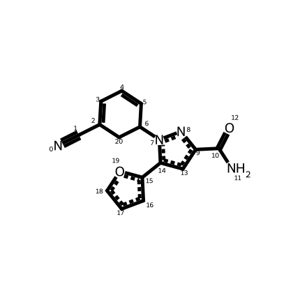 N#CC1=CC=CC(n2nc(C(N)=O)cc2-c2ccco2)C1